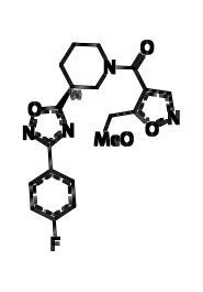 COCc1oncc1C(=O)N1CCC[C@H](c2nc(-c3ccc(F)cc3)no2)C1